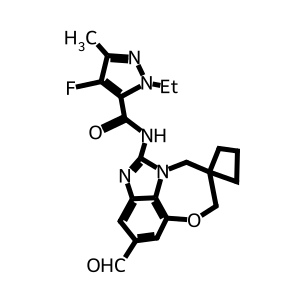 CCn1nc(C)c(F)c1C(=O)Nc1nc2cc(C=O)cc3c2n1CC1(CCC1)CO3